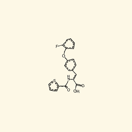 O=C(O)C(=Cc1ccc(Oc2ccccc2F)cc1)NC(=O)c1cccs1